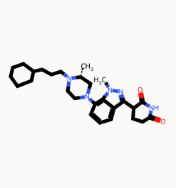 C[C@@H]1CN(c2cccc3c(C4CCC(=O)NC4=O)nn(C)c23)CCN1CCCC1CCCCC1